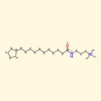 C[N+](C)(C)CCCNC(=O)CCCCCCCCCCC1CCCC1